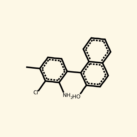 Cc1ccc(-c2c(O)ccc3ccccc23)c(N)c1Cl